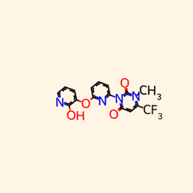 Cn1c(C(F)(F)F)cc(=O)n(-c2cccc(Oc3cccnc3O)n2)c1=O